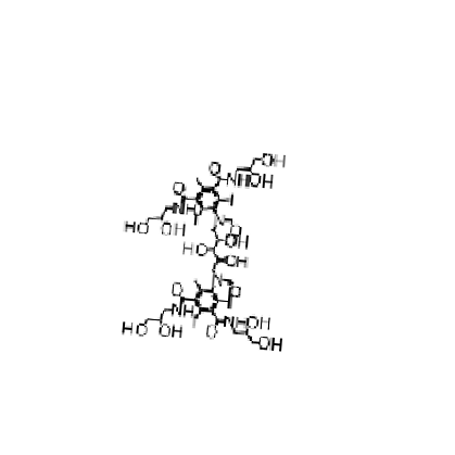 Cc1c(C(=O)NCC(O)CO)c(I)c(N(C=O)CC(O)C(O)C(O)CN(C=O)c2c(C)c(C(=O)NCC(O)CO)c(I)c(C(=O)NCC(O)CO)c2I)c(I)c1C(=O)NCC(O)CO